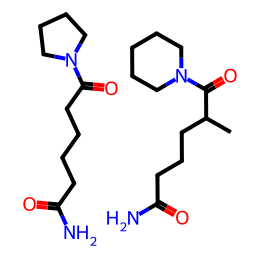 CC(CCCC(N)=O)C(=O)N1CCCCC1.NC(=O)CCCCC(=O)N1CCCC1